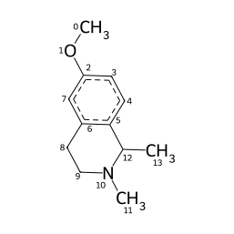 COc1ccc2c(c1)CCN(C)C2C